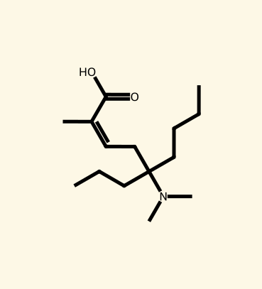 CCCCC(CC=C(C)C(=O)O)(CCC)N(C)C